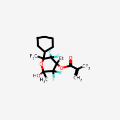 C=C(C(=O)OC1(CC)C(F)(F)C(C)(O)OC(C2CCCCC2)(C(F)(F)F)C1(F)F)C(F)(F)F